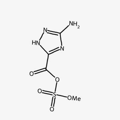 COS(=O)(=O)OC(=O)c1nc(N)n[nH]1